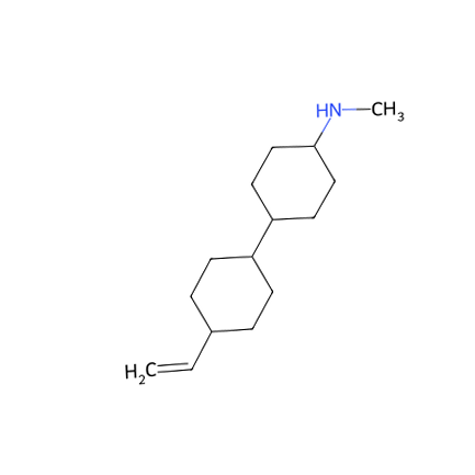 C=CC1CCC(C2CCC(NC)CC2)CC1